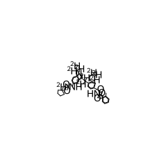 [2H]C([2H])([2H])Oc1cc(C(=O)NS(=O)(=O)c2ccccc2C)ccc1C([2H])([2H])c1cn(C([2H])([2H])[2H])c2ccc(NC(=O)OC3([2H])CCCC3)cc12